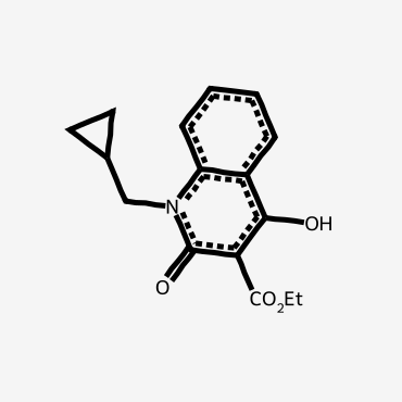 CCOC(=O)c1c(O)c2ccccc2n(CC2CC2)c1=O